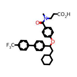 CN(CCC(=O)O)C(=O)c1ccc(OC(CC2CCCCC2)c2ccc(-c3ccc(C(F)(F)F)cc3)cc2)cc1